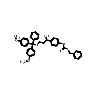 COc1ccc(C(OCCC(O)c2ccc(NC(=O)OCc3ccccc3)cc2)(c2ccccc2)c2ccc(OC)cc2)cc1